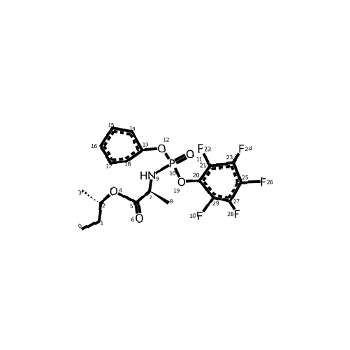 CC[C@H](C)OC(=O)[C@H](C)NP(=O)(Oc1ccccc1)Oc1c(F)c(F)c(F)c(F)c1F